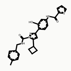 Cc1ccc(CNC(=O)n2nc(-c3ccc(NC(=O)c4cccs4)cc3O)cc2C2CCC2)cc1